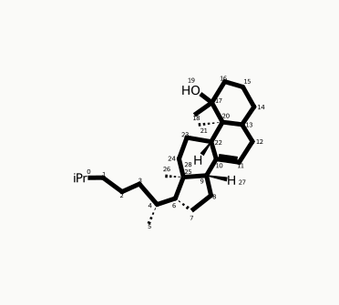 CC(C)CCC[C@@H](C)[C@H]1CC[C@H]2C3=CCC4CCCC(C)(O)[C@]4(C)[C@H]3CC[C@]12C